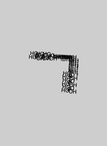 N.N.N.N.N.N.N.N.N.N.N.N.N.N.N.N.N.N.O=P(O)(O)O.O=P(O)(O)O.O=P(O)(O)O.O=P(O)(O)O.O=P(O)(O)O.O=P(O)(O)O